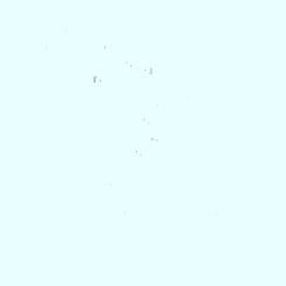 CC(C)(C)C(=O)OCOC[C@@H](NC(=O)N1Cc2c(NC(=O)C3(S(C)(C)C)CCC3)n[nH]c2C1(C)C)c1ccccc1